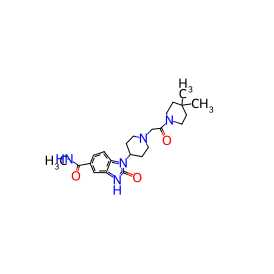 CNC(=O)c1ccc2c(c1)[nH]c(=O)n2C1CCN(CC(=O)N2CCC(C)(C)CC2)CC1